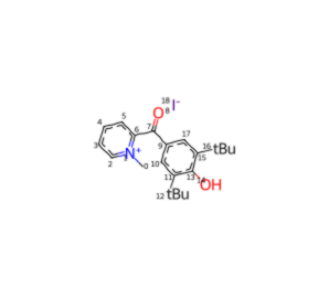 C[n+]1ccccc1C(=O)c1cc(C(C)(C)C)c(O)c(C(C)(C)C)c1.[I-]